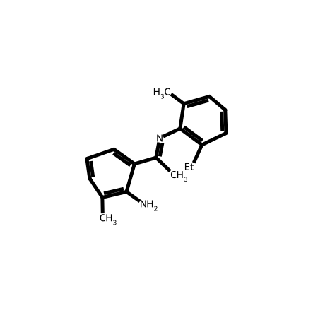 CCc1cccc(C)c1N=C(C)c1cccc(C)c1N